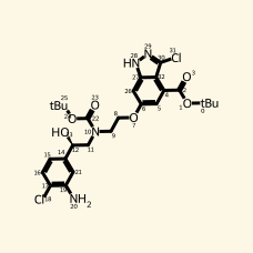 CC(C)(C)OC(=O)c1cc(OCCN(C[C@H](O)c2ccc(Cl)c(N)c2)C(=O)OC(C)(C)C)cc2[nH]nc(Cl)c12